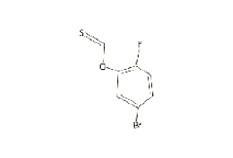 Fc1ccc(Br)cc1OC=S